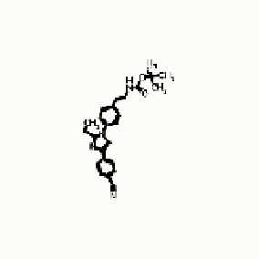 CCc1nc(-c2ccc(C#N)cc2)cn1-c1ccc(CCNC(=O)OC(C)(C)C)cc1